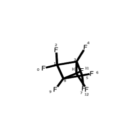 FC1(F)C2(F)C(F)(F)C1(F)C2(F)F